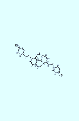 CCc1ccc(C=Cc2ccc3ccc4c(C=Cc5ccc(CC)cc5)ccc5ccc2c3c54)cc1